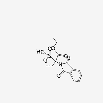 CCOC(=O)C(CC)(N1C(=O)c2ccccc2C1=O)S(=O)(=O)O